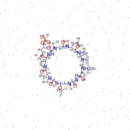 CC(C)C[C@@H]1C(=O)N(C)C(=O)N(C)C(C(C)C)C(=O)N(C)C(C[C@H](C)CCCOS(C)(=O)=O)C(=O)NC(=O)N(C)[C@H](C)C(=O)N(C)[C@@H](CC(C)C)C(=O)NC(C(C)C)N(C)[C@H](CC(C)C)NC(C)C(=O)NC(=O)N1C